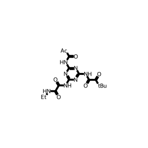 CCNC(=O)C(=O)Nc1nc(NC(=O)C(C)=O)nc(NC(=O)C(=O)C(C)(C)C)n1